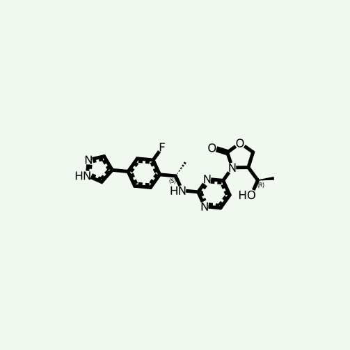 C[C@H](Nc1nccc(N2C(=O)OCC2[C@@H](C)O)n1)c1ccc(-c2cn[nH]c2)cc1F